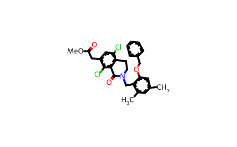 COC(=O)Cc1cc(Cl)c2c(c1Cl)C(=O)N(Cc1c(C)cc(C)cc1OCc1ccccc1)CC2